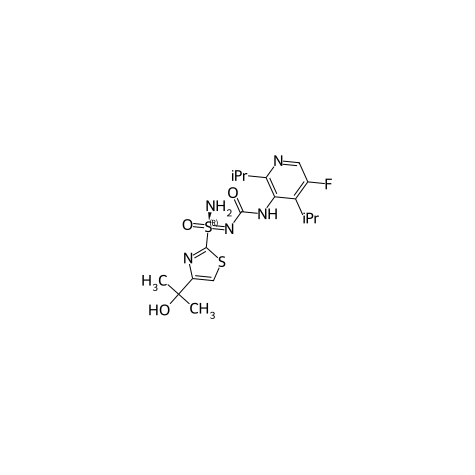 CC(C)c1ncc(F)c(C(C)C)c1NC(=O)N=[S@@](N)(=O)c1nc(C(C)(C)O)cs1